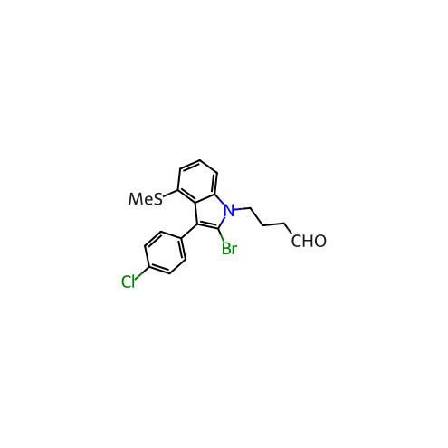 CSc1cccc2c1c(-c1ccc(Cl)cc1)c(Br)n2CCCC=O